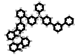 c1ccc(-c2cccc(-c3ccc(N(c4ccccc4)c4cccc(-c5ccccc5-c5ccc6c(c5)c5ccccc5n6-c5cccc6sc7ccccc7c56)c4)cc3)c2)cc1